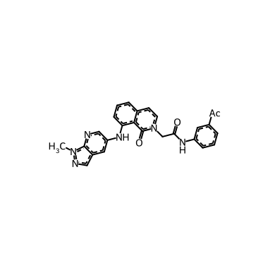 CC(=O)c1cccc(NC(=O)Cn2ccc3cccc(Nc4cnc5c(cnn5C)c4)c3c2=O)c1